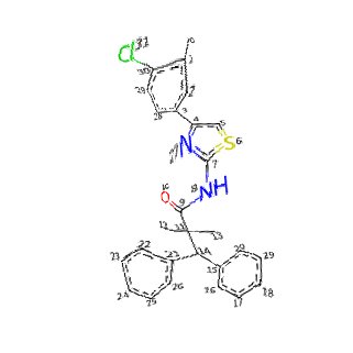 Cc1cc(-c2csc(NC(=O)C(C)(C)C(c3ccccc3)c3ccccc3)n2)ccc1Cl